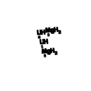 [LiH].[LiH].[MgH2].[MgH2]